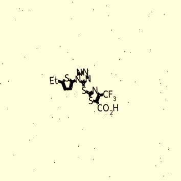 CCc1ccc(-n2nnnc2Sc2nc(C(F)(F)F)c(C(=O)O)s2)s1